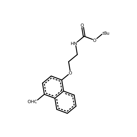 CC(C)(C)OC(=O)NCCOc1ccc(C=O)c2ccccc12